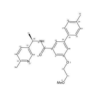 COCCOc1cc(C(=O)N[C@H](C)c2ccc(C)nc2)cc(-c2ccc(C)cc2)c1